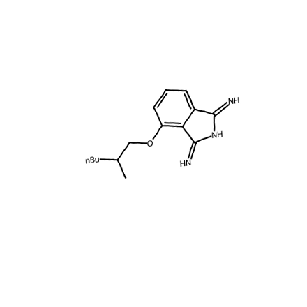 CCCCC(C)COc1cccc2c1C(=N)NC2=N